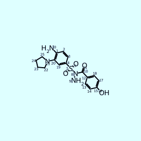 Nc1ccc(S(=O)(=O)N(N)C(=O)c2ccc(O)cc2)cc1N1CCCC1